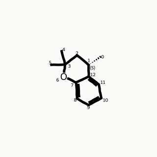 C[C@H]1CC(C)(C)Oc2ccccc21